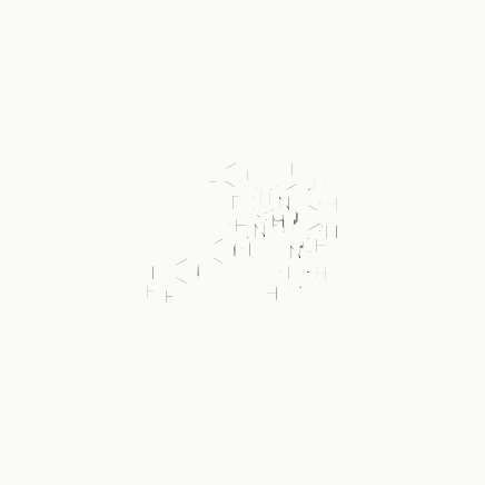 [2H]c1c(C)c([2H])c2c(c1[2H])c(=O)c([2H])c(SCc1cccc(F)c1F)n2C([2H])([2H])C(=O)N(C1CCN(CC([2H])([2H])OC)CC1)C([2H])([2H])c1ccc(-c2ccc(C(F)(F)F)cc2)cc1